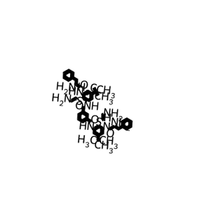 CC(C)(C)c1cc(NC(=O)c2cccc(C(=O)Nc3cc(C(C)(C)C)cc(NC(=O)C(N)Cc4ccccc4)c3SCCN)c2)c(SCCN)c(NC(=O)C(N)Cc2ccccc2)c1